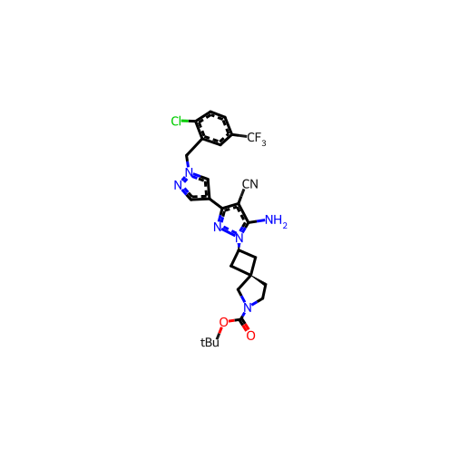 CC(C)(C)OC(=O)N1CC[C@]2(C1)C[C@H](n1nc(-c3cnn(Cc4cc(C(F)(F)F)ccc4Cl)c3)c(C#N)c1N)C2